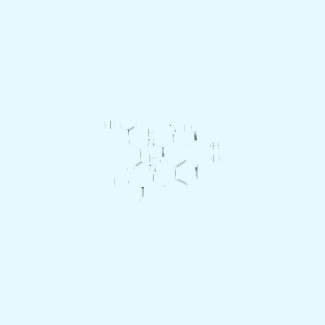 CC(=O)C(Cc1ccc(O)cc1)NC(=O)C(CC(=O)O)NC(=O)C(N)CC(=O)O